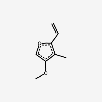 C=Cc1occ(OC)c1C